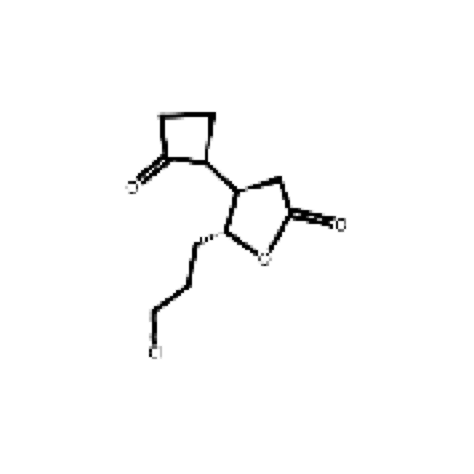 O=C1C[C@H]([C@@H]2CCC2=O)[C@@H](CCCCl)O1